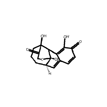 O=C1C=CC2=C[C@H]3CCCC4(O)C(=O)CC[C@]3(O)C4C2=C1O